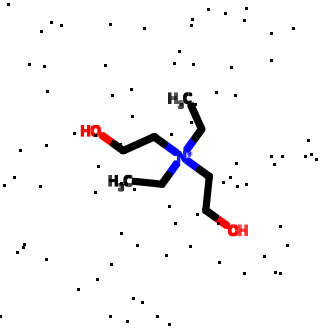 CC[N+](CC)(CCO)CCO